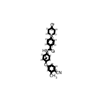 Cc1cc(OC23CCC(NC(=O)c4ccc(N5CCC(=O)CC5)cc4)(CC2)CC3)ccc1C#N